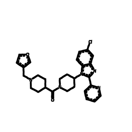 O=C(C1CCN(Cc2ccoc2)CC1)N1CCC(n2c(-c3ccccn3)nc3cc(Cl)ccc32)CC1